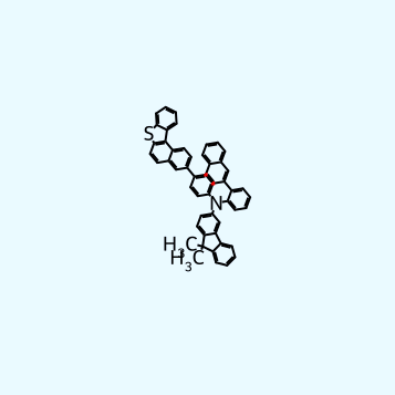 CC1(C)c2ccccc2-c2cc(N(c3ccc(-c4ccc5c(ccc6sc7ccccc7c65)c4)cc3)c3ccccc3-c3ccc4ccccc4c3)ccc21